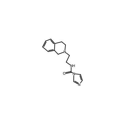 O=C(NCCN1CCc2ccccc2C1)n1ccnc1